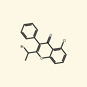 CC(Br)c1oc2cccc(Cl)c2c(=O)c1-c1ccccc1